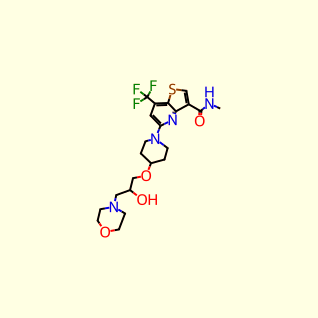 CNC(=O)c1csc2c(C(F)(F)F)cc(N3CCC(OCC(O)CN4CCOCC4)CC3)nc12